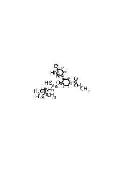 CCOC(=O)c1ccc(OCC(O)CNC(C)(C)C)c(-c2ccc(=O)[nH]n2)c1